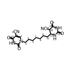 N#Cc1cn(CCCCCCCC2NC(=O)NC(=O)C2C#N)c(=O)[nH]c1=O